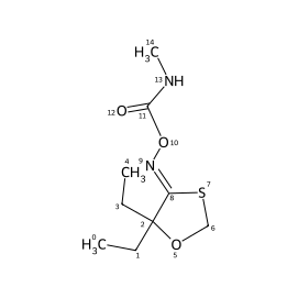 CCC1(CC)OCSC1=NOC(=O)NC